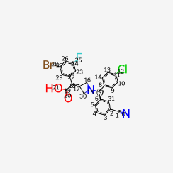 N#Cc1cccc([C@H](c2ccc(Cl)cc2)N2CC(=C(C(=O)O)c3cc(F)cc(Br)c3)C2)c1